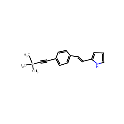 C[Si](C)(C)C#Cc1ccc(/C=C/c2ccc[nH]2)cc1